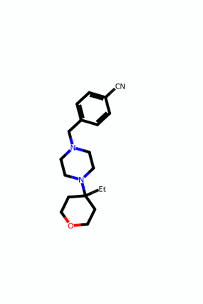 CCC1(N2CCN(Cc3ccc(C#N)cc3)CC2)CCOCC1